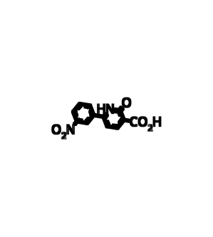 O=C(O)c1ccc(-c2cccc([N+](=O)[O-])c2)[nH]c1=O